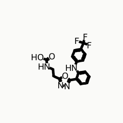 O=C(O)NCCc1nnc(-c2ccccc2Nc2ccc(C(F)(F)F)cc2)o1